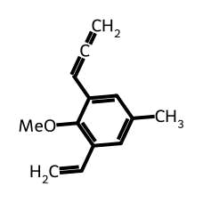 C=C=Cc1cc(C)cc(C=C)c1OC